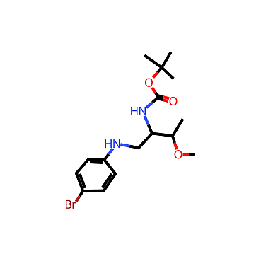 COC(C)C(CNc1ccc(Br)cc1)NC(=O)OC(C)(C)C